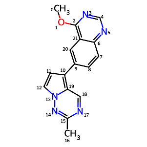 COc1ncnc2ccc(-c3ccn4nc(C)ncc34)cc12